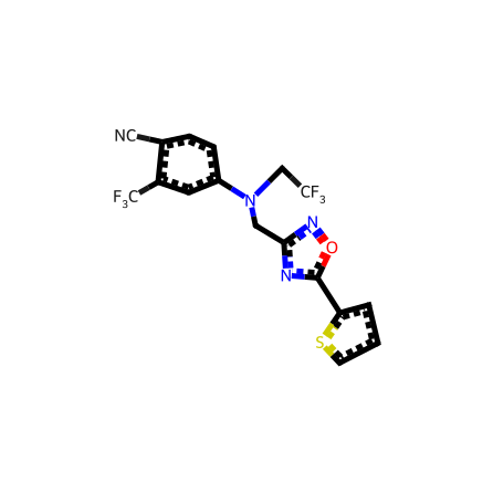 N#Cc1ccc(N(Cc2noc(-c3cccs3)n2)CC(F)(F)F)cc1C(F)(F)F